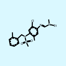 CCN(C)C=Nc1cc(C)c(N(Cc2ccccc2C)S(C)(=O)=O)cc1Cl